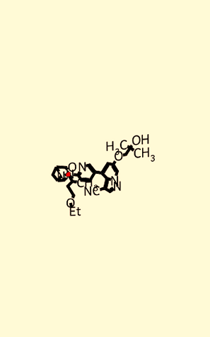 CCOCCC(C)C(=O)N1C2CC1CN(c1ccc(-c3cc(OCC(C)(C)O)cn4ncc(C#N)c34)cn1)C2